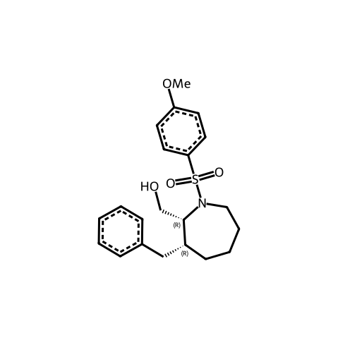 COc1ccc(S(=O)(=O)N2CCCC[C@H](Cc3ccccc3)[C@@H]2CO)cc1